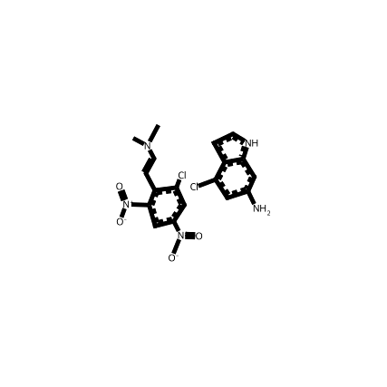 CN(C)/C=C/c1c(Cl)cc([N+](=O)[O-])cc1[N+](=O)[O-].Nc1cc(Cl)c2cc[nH]c2c1